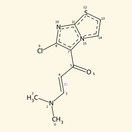 CN(C)/C=C/C(=O)c1c(Cl)nc2sccn12